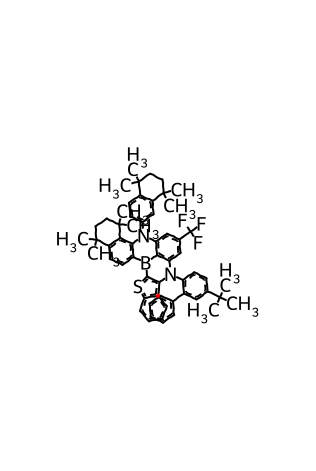 CC(C)(C)c1ccc(N2c3cc(C(F)(F)F)cc4c3B(c3ccc5c(c3N4c3ccc4c(c3)C(C)(C)CCC4(C)C)C(C)(C)CCC5(C)C)c3sc4ccccc4c32)c(-c2ccccc2)c1